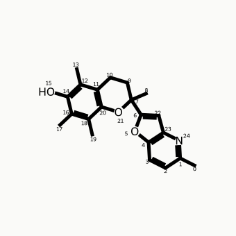 Cc1ccc2oc(C3(C)CCc4c(C)c(O)c(C)c(C)c4O3)cc2n1